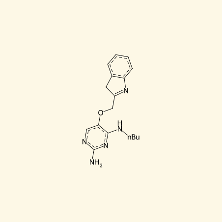 CCCCNc1nc(N)ncc1OCC1=Nc2ccccc2C1